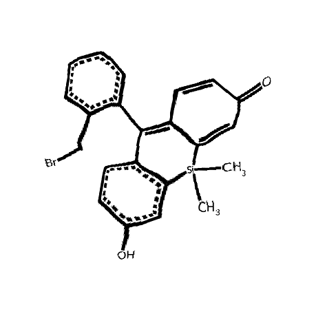 C[Si]1(C)C2=CC(=O)C=CC2=C(c2ccccc2CBr)c2ccc(O)cc21